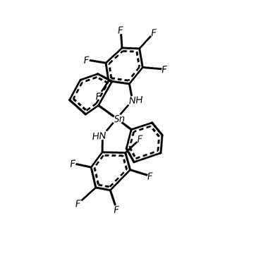 Fc1c(F)c(F)c([NH][Sn]([NH]c2c(F)c(F)c(F)c(F)c2F)([c]2ccccc2)[c]2ccccc2)c(F)c1F